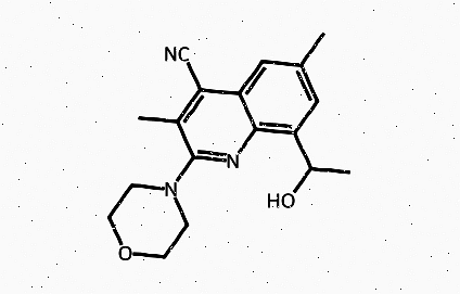 Cc1cc(C(C)O)c2nc(N3CCOCC3)c(C)c(C#N)c2c1